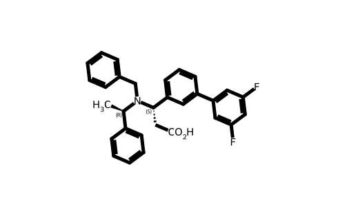 C[C@H](c1ccccc1)N(Cc1ccccc1)[C@@H](CC(=O)O)c1cccc(-c2cc(F)cc(F)c2)c1